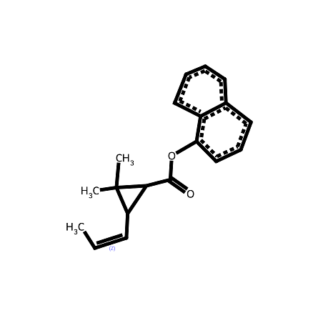 C/C=C\C1C(C(=O)Oc2cccc3ccccc23)C1(C)C